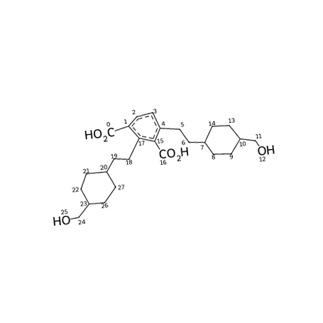 O=C(O)c1ccc(CCC2CCC(CO)CC2)c(C(=O)O)c1CCC1CCC(CO)CC1